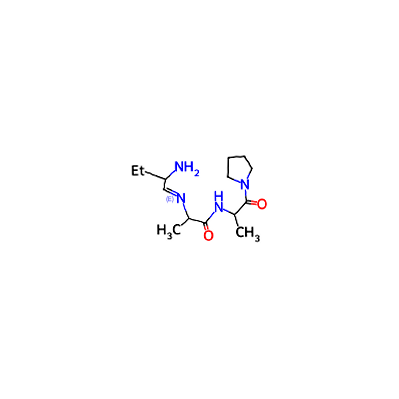 CCC(N)/C=N/C(C)C(=O)NC(C)C(=O)N1CCCC1